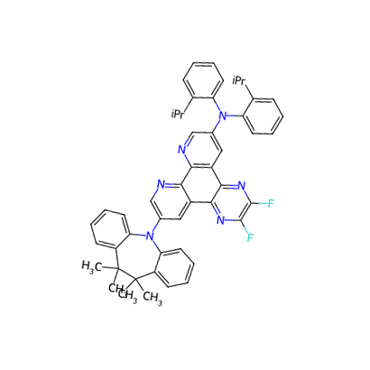 CC(C)c1ccccc1N(c1cnc2c(c1)c1nc(F)c(F)nc1c1cc(N3c4ccccc4C(C)(C)C(C)(C)c4ccccc43)cnc12)c1ccccc1C(C)C